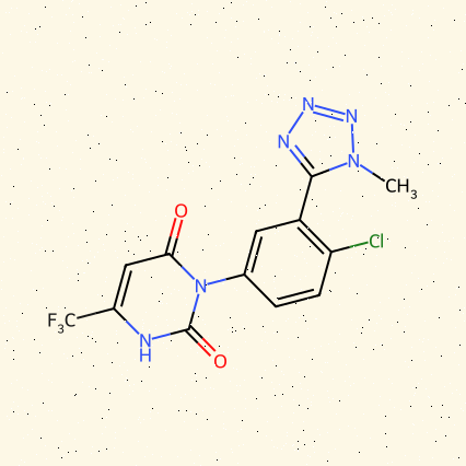 Cn1nnnc1-c1cc(-n2c(=O)cc(C(F)(F)F)[nH]c2=O)ccc1Cl